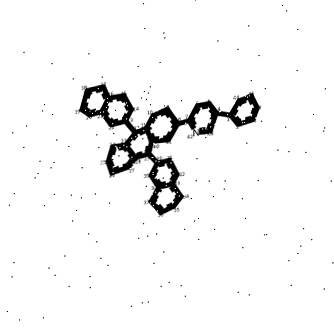 c1ccc(-c2ccc(-c3ccc4c(-c5ccc6ccccc6c5)c5ccccc5c(-c5ccc6ccccc6c5)c4c3)nc2)cc1